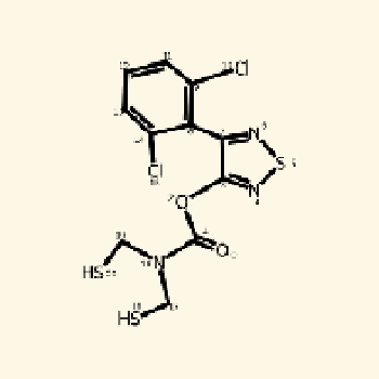 O=C(Oc1nsnc1-c1c(Cl)cccc1Cl)N(CS)CS